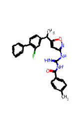 Cc1ccc(C(=O)NC(=N)Nc2cc(C(C)c3ccc(-c4ccccc4)c(F)c3)on2)cc1